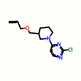 C=CCOCC1CCCN(c2ccnc(Cl)n2)C1